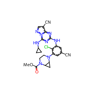 COC(=O)N1CCN(c2cc(C#N)cc(Nc3nc(NC4CC4)n4ncc(C#N)c4n3)c2Cl)C2CC21